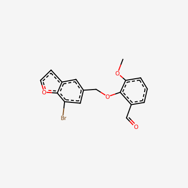 COc1cccc(C=O)c1OCc1cc(Br)c2occc2c1